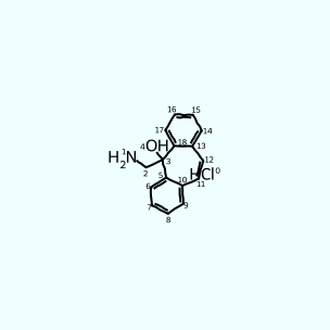 Cl.NCC1(O)c2ccccc2C=Cc2ccccc21